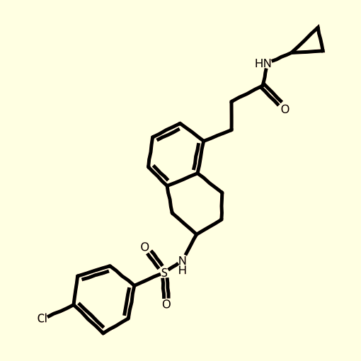 O=C(CCc1cccc2c1CCC(NS(=O)(=O)c1ccc(Cl)cc1)C2)NC1CC1